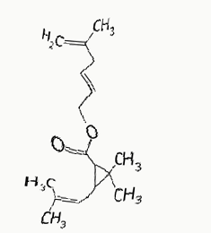 C=C(C)C/C=C/COC(=O)C1C(C=C(C)C)C1(C)C